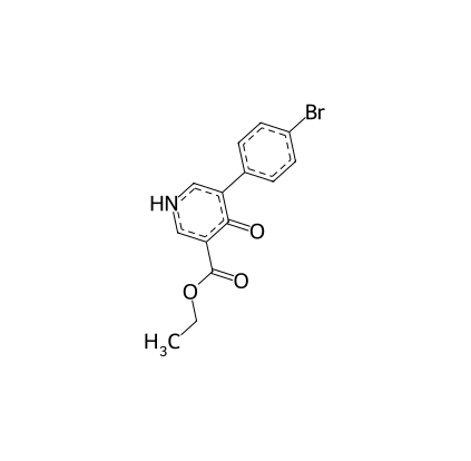 CCOC(=O)c1c[nH]cc(-c2ccc(Br)cc2)c1=O